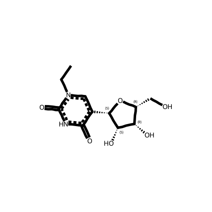 CCn1cc([C@@H]2O[C@H](CO)[C@H](O)[C@@H]2O)c(=O)[nH]c1=O